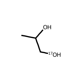 CC(O)C[17OH]